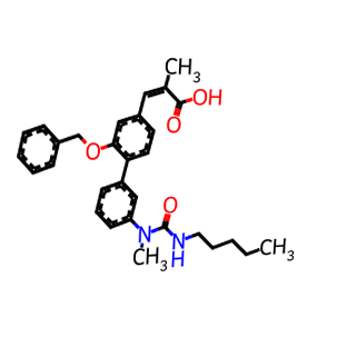 CCCCCNC(=O)N(C)c1cccc(-c2ccc(C=C(C)C(=O)O)cc2OCc2ccccc2)c1